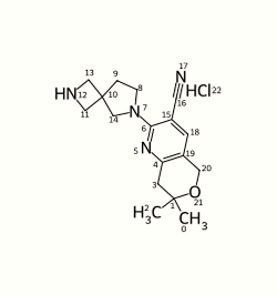 CC1(C)Cc2nc(N3CCC4(CNC4)C3)c(C#N)cc2CO1.Cl